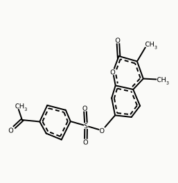 CC(=O)c1ccc(S(=O)(=O)Oc2ccc3c(C)c(C)c(=O)oc3c2)cc1